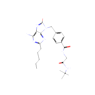 CCCCCc1nc(N)c2nc(O)n(Cc3ccc(C(=O)NCC(=O)NC(C)(C)C)cc3)c2n1